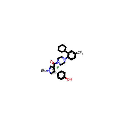 CC(C)(C)N1C[C@@H](c2ccc(O)cc2)[C@](F)(C(=O)N2CCN(c3ccc(C(F)(F)F)cc3C3CCCCC3)CC2)C1